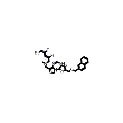 CC/C=C(F)\C=C(/CC)CN(C)Cc1ncn(C2CCC(COCc3ccc4ccccc4c3)O2)c1/N=C\N